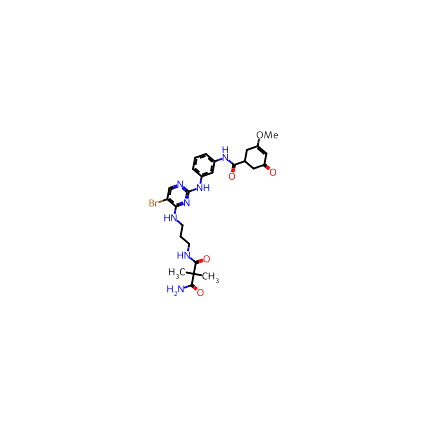 COC1=CC(=O)CC(C(=O)Nc2cccc(Nc3ncc(Br)c(NCCCNC(=O)C(C)(C)C(N)=O)n3)c2)C1